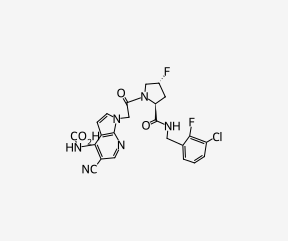 N#Cc1cnc2c(ccn2CC(=O)N2C[C@H](F)C[C@H]2C(=O)NCc2cccc(Cl)c2F)c1NC(=O)O